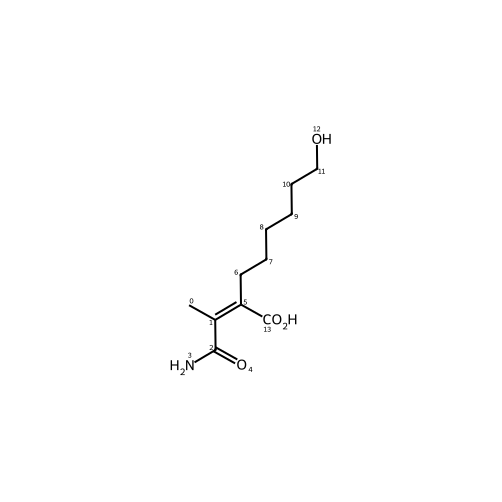 C/C(C(N)=O)=C(\CCCCCCO)C(=O)O